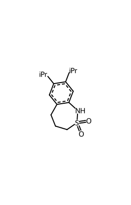 CC(C)c1cc2c(cc1C(C)C)NS(=O)(=O)CCC2